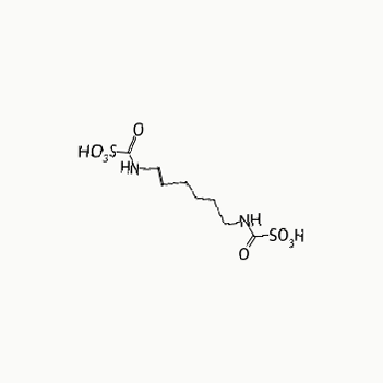 O=C(NCCCCCCNC(=O)S(=O)(=O)O)S(=O)(=O)O